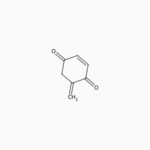 C=C1CC(=O)C=CC1=O